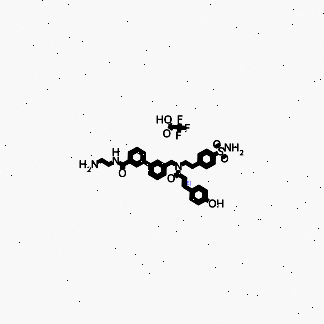 NCCNC(=O)c1cccc(-c2cccc(CN(CCc3ccc(S(N)(=O)=O)cc3)C(=O)/C=C/c3ccc(O)cc3)c2)c1.O=C(O)C(F)(F)F